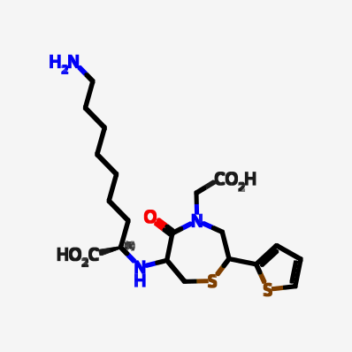 NCCCCCCC[C@@H](NC1CSC(c2cccs2)CN(CC(=O)O)C1=O)C(=O)O